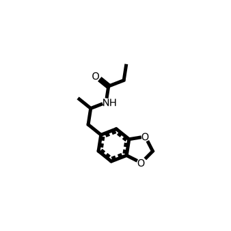 CCC(=O)NC(C)Cc1ccc2c(c1)OCO2